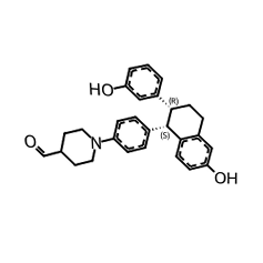 O=CC1CCN(c2ccc([C@H]3c4ccc(O)cc4CC[C@H]3c3cccc(O)c3)cc2)CC1